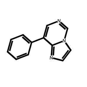 c1ccc(-c2cncn3ccnc23)cc1